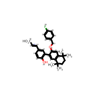 CC1(C)CCC(C)(C)c2cc(-c3cc(/C=C/C(=O)O)ccc3O)c(OCc3ccc(F)cc3)cc21